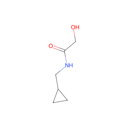 O=C(CO)NCC1CC1